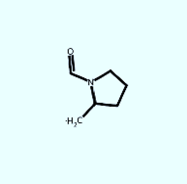 [CH2]C1CCCN1C=O